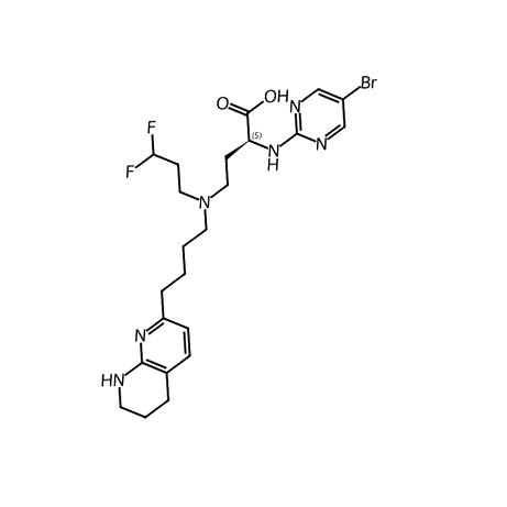 O=C(O)[C@H](CCN(CCCCc1ccc2c(n1)NCCC2)CCC(F)F)Nc1ncc(Br)cn1